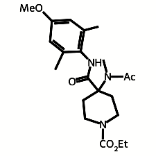 CCOC(=O)N1CCC(C(=O)Nc2c(C)cc(OC)cc2C)(N(C)C(C)=O)CC1